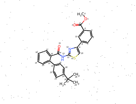 COC(=O)c1cccc(-c2csc(NC(=O)c3ccccc3-c3ccc(C(C)(C)C)cc3)n2)c1